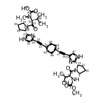 COC(=O)N[C@H](C(=O)N1CCC[C@H]1c1nc(C#Cc2ccc(C#Cc3c[nH]c([C@@H]4CCCN4C(=O)[C@H](C(C)C)N(C)C(=O)O)n3)cc2)c[nH]1)C(C)C